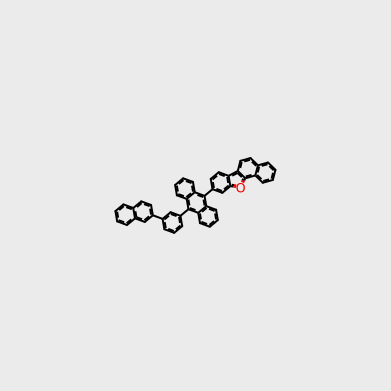 c1cc(-c2ccc3ccccc3c2)cc(-c2c3ccccc3c(-c3ccc4c(c3)oc3c5ccccc5ccc43)c3ccccc23)c1